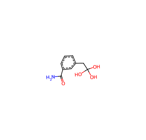 NC(=O)c1cccc(CC(O)(O)O)c1